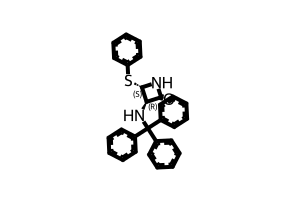 O=C1N[C@@H](Sc2ccccc2)[C@@H]1NC(c1ccccc1)(c1ccccc1)c1ccccc1